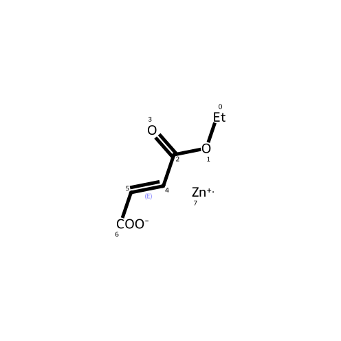 CCOC(=O)/C=C/C(=O)[O-].[Zn+]